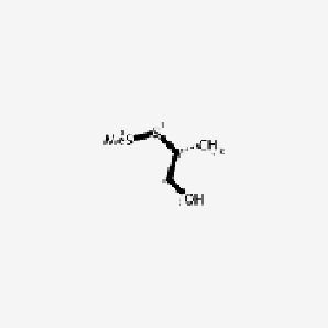 CSS[C@H](C)CO